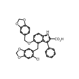 O=C(O)c1[nH]c2ccc(OCc3ccc4c(c3)OCO4)c(Cc3cc4c(cc3Cl)OCO4)c2c1-c1ccccc1